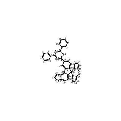 c1ccc(-c2nc(-c3ccccc3)nc(-c3ccc4c(c3)-c3c(ccc5occc35)C43c4ccccc4Sc4ccccc43)n2)cc1